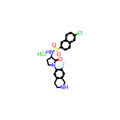 Cl.O=C1C(NS(=O)(=O)c2ccc3cc(Cl)ccc3c2)CCN1c1cc2c(cc1F)CNCC2